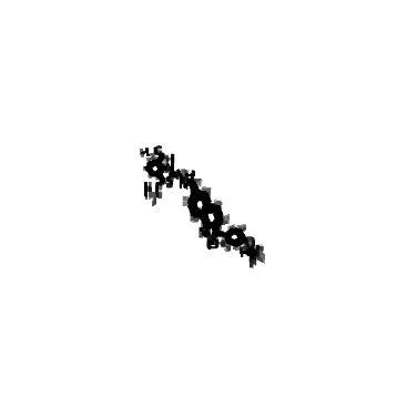 CCc1cccc(CC)c1NC(=S)N/N=C/c1ccc2c(ccc3c(-c4ccc(OC(F)(F)F)cc4)n(C)nc32)c1